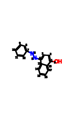 Oc1ccc(N=Nc2ccccc2)c2ccccc12